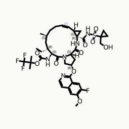 CC[C@@H]1C[C@@H](C)CC/C=C\[C@@H]2C[C@@]2(C(=O)NS(=O)(=O)C2(CO)CC2)NC(=O)[C@@H]2C[C@@H](Oc3nccc4cc(OC)c(F)cc34)CN2C(=O)[C@H]1NC(=O)OC(C)(C)C(F)(F)F